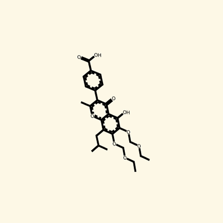 CCOCOc1c(OCOCC)c(O)c2c(=O)c(-c3ccc(C(=O)O)cc3)c(C)oc2c1CC(C)C